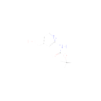 CC(C)(C)OC(=O)NC1=CC(CO)CC=N1